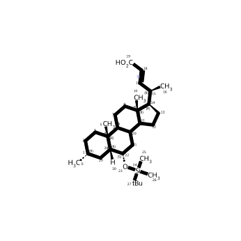 C[C@@H]1CC[C@]2(C)C3CC[C@@]4(C)C(CC[C@@H]4[C@H](C)/C=C/C(=O)O)C3C[C@H](O[Si](C)(C)C(C)(C)C)[C@@H]2C1